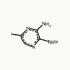 CNc1ncc(I)nc1N